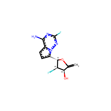 C=C1O[C@@H](c2ccc3c(N)nc(F)nn23)[C@H](F)[C@@H]1O